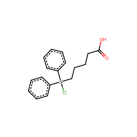 O=C(O)CCCC[Si](Cl)(c1ccccc1)c1ccccc1